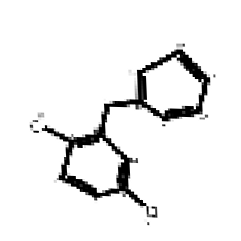 Clc1ccc(Cl)c(Cc2[c]cccc2)c1